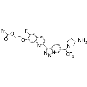 CC(C)C(=O)OCCOc1cc2nc(-c3nnn4cc([C@@H](N5CC[C@H](N)C5)C(F)(F)F)ccc34)ccc2cc1F